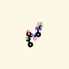 O=C(NCC1(c2cc(-c3ccccc3)cs2)CCOCC1)c1cccc(-c2noc(C(F)(F)F)n2)c1